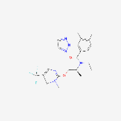 CCN(C(=O)c1ccc(C)c(C)c1-n1nccn1)[C@@H](C)COC1=NC=C(C(F)(F)F)CN1C